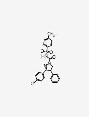 O=C(NS(=O)(=O)c1ccc(C(F)(F)F)cc1)N1CC(c2ccccc2)C(c2ccc(Cl)cc2)=N1